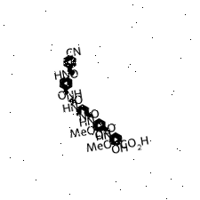 COc1c(NC(=O)c2ccc(NC(=O)c3ccc(NC(=O)CNC(=O)c4ccc(NC(=O)c5ccc(C#N)cc5)cc4)cn3)c(OC)c2O)ccc(C(=O)O)c1O